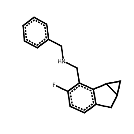 Fc1ccc2c(c1CNCc1ccccc1)C1CC1C2